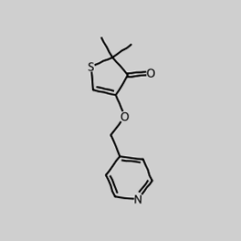 CC1(C)SC=C(OCc2ccncc2)C1=O